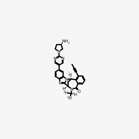 [2H]C([2H])([2H])N1C(=O)c2cccc(C#CC)c2[C@H]2C[C@@H]1c1nc3ccc(-c4cnc(N5CC[C@@H](N)C5)nc4)cc3n12